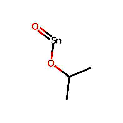 CC(C)[O][Sn]=[O]